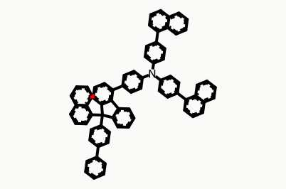 c1ccc(-c2ccc(C3(c4cccc5ccccc45)c4ccccc4-c4c(-c5ccc(N(c6ccc(-c7cccc8ccccc78)cc6)c6ccc(-c7cccc8ccccc78)cc6)cc5)cccc43)cc2)cc1